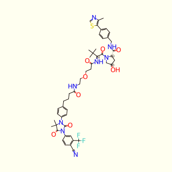 Cc1ncsc1-c1ccc(CNC(=O)[C@@H]2C[C@@H](O)CN2C(=O)[C@@H](NC(=O)CCOCCNC(=O)CCCc2ccc(N3C(=O)N(c4ccc(C#N)c(C(F)(F)F)c4)C(=O)C3(C)C)cc2)C(C)(C)C)cc1